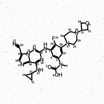 CN(C(=O)O)c1cc(Nc2nc(NC3CC3)c3ncc(C#N)n3n2)c(F)c(N2CCN(C3COC3)CC2)c1